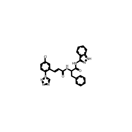 O=C(C=Cc1cc(Cl)ccc1-n1cnnn1)NC(Cc1ccccc1)C(=O)Nc1n[nH]c2ccccc12